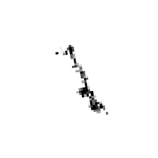 CCCCCCCCCCCCCCCCCCC(CCCCCCC(N)=O)C(N)=O